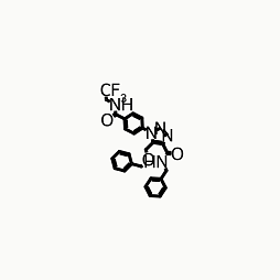 O=C(NCC(F)(F)F)c1ccc(-n2nnc(C(=O)NCc3ccccc3)c2COCc2ccccc2)cc1